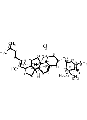 CC(C)CCC[C@@H](C)[C@H]1CC[C@H]2[C@@H]3CC=C4C[C@@H](OC(CN(C)C)C[N+](C)(C)C)CC[C@]4(C)[C@H]3CC[C@]12C.[Cl-]